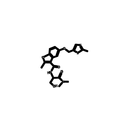 Cc1ncc(COc2ccc3oc(C)c(C(=O)NC(CO)C(=O)N(C)C)c3c2)s1